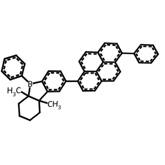 CC12CCCCC1(C)c1cc(-c3ccc4ccc5c(-c6ccccc6)ccc6ccc3c4c65)ccc1B2c1ccccc1